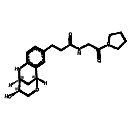 O=C(CCc1ccc2c(c1)[C@H]1C[C@H](N2)[C@H](O)CO1)NCC(=O)N1CCCC1